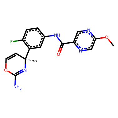 COc1cnc(C(=O)Nc2ccc(F)c([C@]3(C)C=COC(N)=N3)c2)cn1